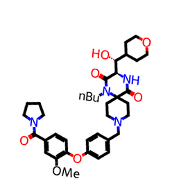 CCCCN1C(=O)[C@@H]([C@H](O)C2CCOCC2)NC(=O)C12CCN(Cc1ccc(Oc3ccc(C(=O)N4CCCC4)cc3OC)cc1)CC2